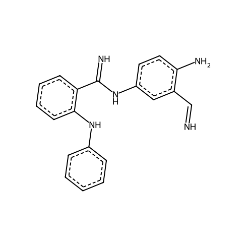 N=Cc1cc(NC(=N)c2ccccc2Nc2ccccc2)ccc1N